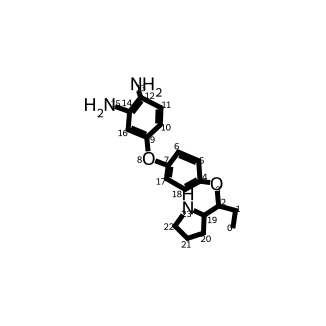 CCC(Oc1ccc(Oc2ccc(N)c(N)c2)cc1)C1CCCN1